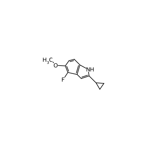 COc1ccc2[nH]c(C3CC3)cc2c1F